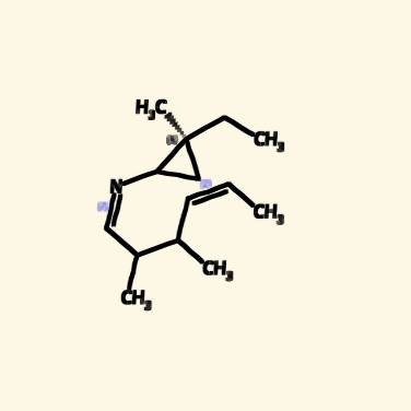 C/C=C\C(C)C(C)/C=N\C1C[C@]1(C)CC